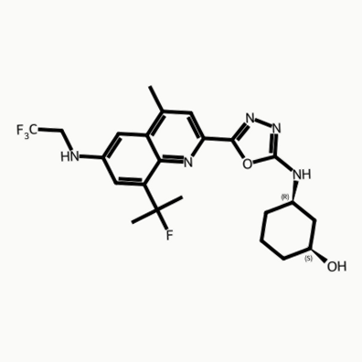 Cc1cc(-c2nnc(N[C@@H]3CCC[C@H](O)C3)o2)nc2c(C(C)(C)F)cc(NCC(F)(F)F)cc12